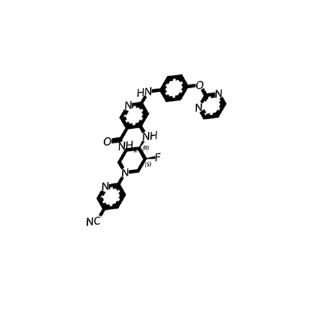 N#Cc1ccc(N2CC[C@@H](Nc3cc(Nc4ccc(Oc5ncccn5)cc4)ncc3C(N)=O)[C@@H](F)C2)nc1